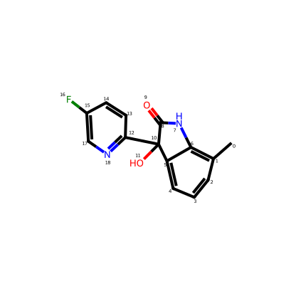 Cc1cccc2c1NC(=O)C2(O)c1ccc(F)cn1